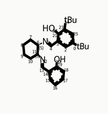 CC(C)(C)c1cc(C=N[C@H]2CCCC[C@@H]2N=Cc2ccccc2O)c(O)c(C(C)(C)C)c1